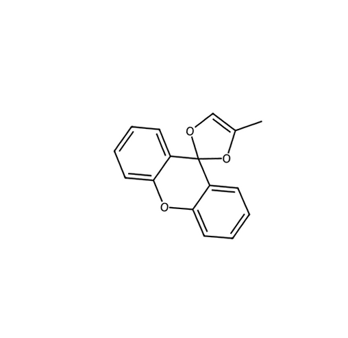 CC1=COC2(O1)c1ccccc1Oc1ccccc12